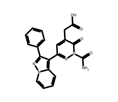 NC(=O)n1nc(-c2c(-c3ccccc3)nn3ccccc23)cc(CC(=O)O)c1=O